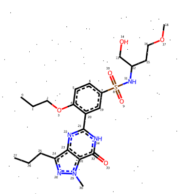 CCCOc1ccc(S(=O)(=O)NC(CO)CCOC)cc1-c1nc2c(CCC)nn(C)c2c(=O)[nH]1